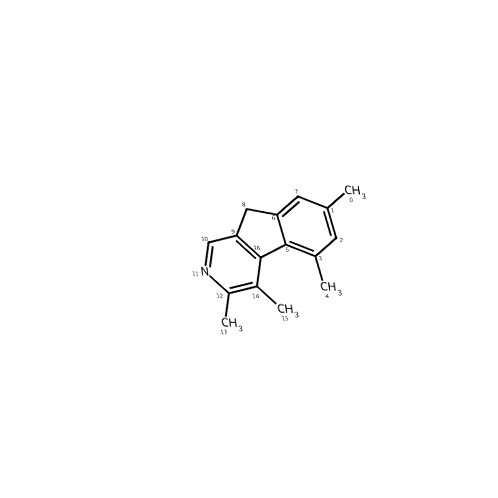 Cc1cc(C)c2c(c1)Cc1cnc(C)c(C)c1-2